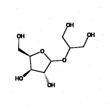 OCC(CO)OC1O[C@H](CO)[C@H](O)[C@H]1O